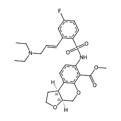 CCN(CC)CC=Cc1cc(F)ccc1S(=O)(=O)Nc1ccc2c(c1C(=O)OC)OC[C@H]1OCC[C@@H]21